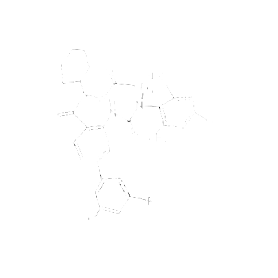 CC(=O)ON(C(=O)c1ccc(-c2cc(F)cc(F)c2)cc1NC(=O)Nc1c(C)cc(C)cc1C)C1CCCCC1